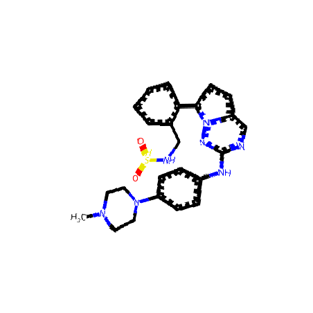 CN1CCN(c2ccc(Nc3ncc4ccc(-c5ccccc5CN[SH](=O)=O)n4n3)cc2)CC1